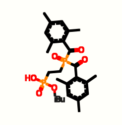 CCC(C)OP(=O)(O)CCP(=O)(C(=O)c1c(C)cc(C)cc1C)C(=O)c1c(C)cc(C)cc1C